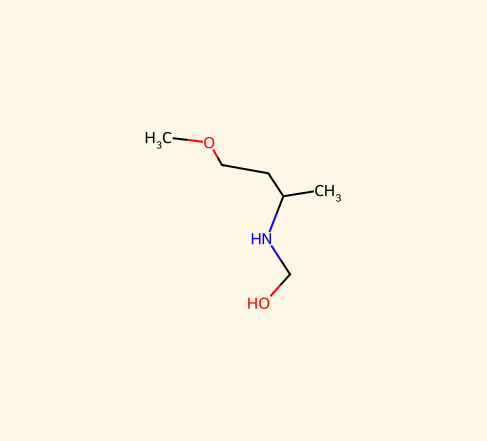 COCCC(C)NCO